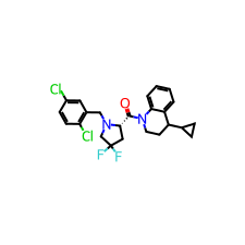 O=C([C@@H]1CC(F)(F)CN1Cc1cc(Cl)ccc1Cl)N1CCC(C2CC2)c2ccccc21